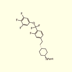 CCCCC[C@H]1CC[C@H](CCc2ccc(C(F)(F)Oc3cc(F)c(F)c(F)c3)c(F)c2)CC1